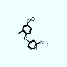 Cc1cc(N=O)ccc1Oc1ccnc(N)c1